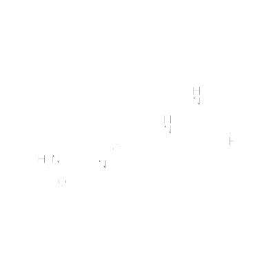 NC(=O)c1ccc(Oc2cccc3c2CC(NCc2c[nH]c4ccc(F)cc24)C3)nc1